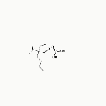 CCCCC(C=O)(CC)N(C)C.O=S(O)O